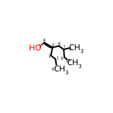 CCC/C(=C\O)CC(C)CC